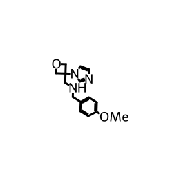 COc1ccc(CNCC2(n3ccnc3)COC2)cc1